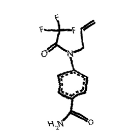 C=CCN(C(=O)C(F)(F)F)c1ccc(C(N)=O)cc1